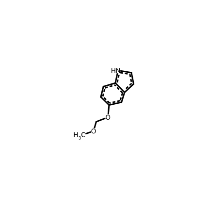 COCOc1ccc2[nH]ccc2c1